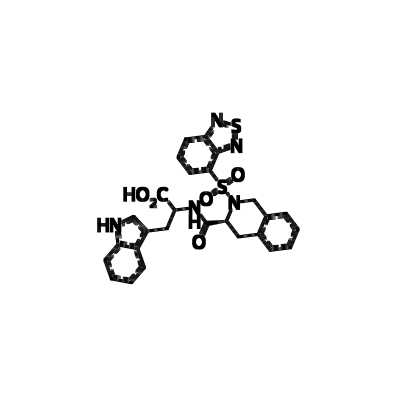 O=C(O)C(Cc1c[nH]c2ccccc12)NC(=O)[C@@H]1Cc2ccccc2CN1S(=O)(=O)c1cccc2nsnc12